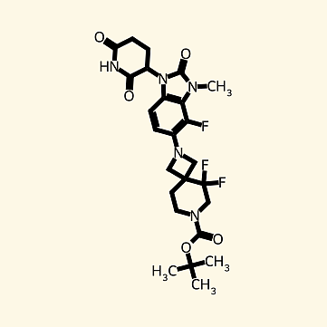 Cn1c(=O)n(C2CCC(=O)NC2=O)c2ccc(N3CC4(CCN(C(=O)OC(C)(C)C)CC4(F)F)C3)c(F)c21